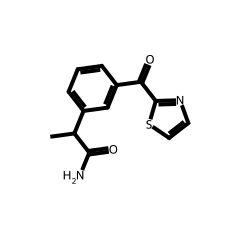 CC(C(N)=O)c1cccc(C(=O)c2nccs2)c1